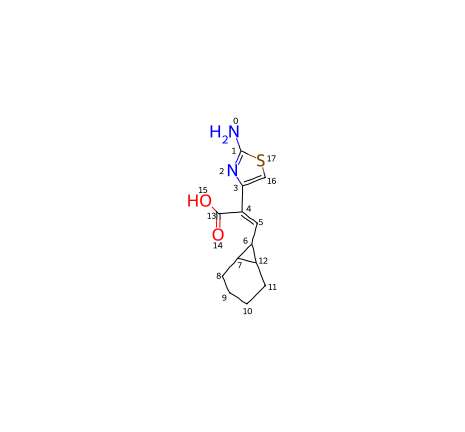 Nc1nc(/C(=C/C2C3CCCCC23)C(=O)O)cs1